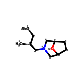 COC[C@@H](C)CN1CC2CCC(C1)O2